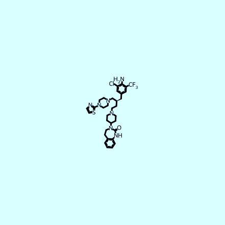 Nc1c(Cl)cc(C[C@@H](CCN2CCC(N3CCc4ccccc4NC3=O)CC2)CN2CCN(c3nccs3)CC2)cc1C(F)(F)F